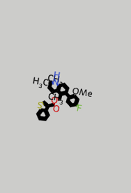 COc1cc(F)ccc1-c1ccc2c(c1COC(=O)c1csc3ccccc13)C(C)=CC(C)(C)N2